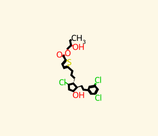 CCC(O)COC(=O)c1ccc(CCC[C@@H]2[C@@H](CCc3cc(Cl)cc(Cl)c3)[C@H](O)C[C@H]2Cl)s1